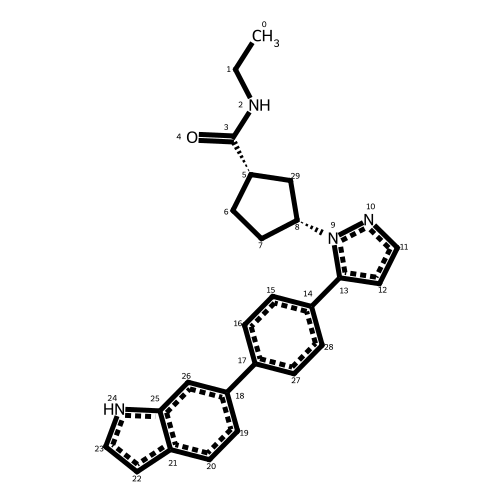 CCNC(=O)[C@H]1CC[C@@H](n2nccc2-c2ccc(-c3ccc4cc[nH]c4c3)cc2)C1